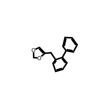 [CH](C1=COCO1)c1ccccc1-c1ccccc1